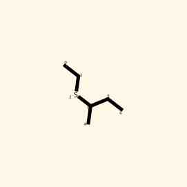 CCSC(C)CC